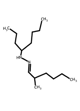 CCCCC(C)/C=N/NC(CCC)CCCC